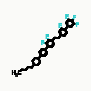 CCCCCC1CCC(c2ccc(-c3ccc(CCc4ccc(-c5cc(F)c(F)c(F)c5)c(F)c4)c(F)c3F)cc2)CC1